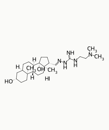 CN(C)CCNC(=N)N/N=C/[C@H]1CC[C@]2(O)[C@@H]3CC[C@@H]4C[C@@H](O)CC[C@]4(C)[C@H]3CC[C@]12C.I